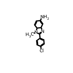 CN1C(c2ccc(Cl)cc2)=NC2C=C(N)C=CC21